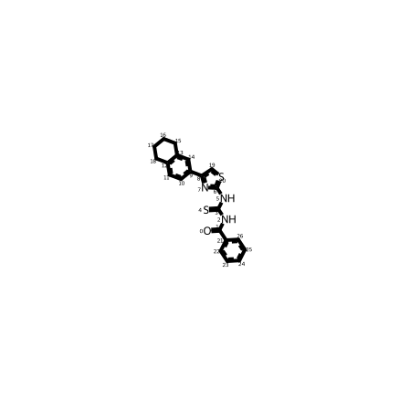 O=C(NC(=S)Nc1nc(-c2ccc3c(c2)CCCC3)cs1)c1ccccc1